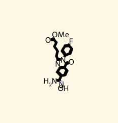 COC(=O)CCCCc1nc2cc(/C(N)=N/O)ccc2c(=O)n1-c1ccc(F)cc1